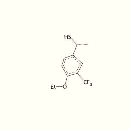 CCOc1ccc(C(C)S)cc1C(F)(F)F